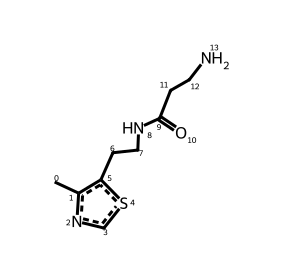 Cc1ncsc1CCNC(=O)CCN